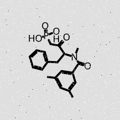 Cc1cc(C)cc(C(=O)N(C)C(Cc2ccccc2)C(=O)CP(=O)(O)O)c1